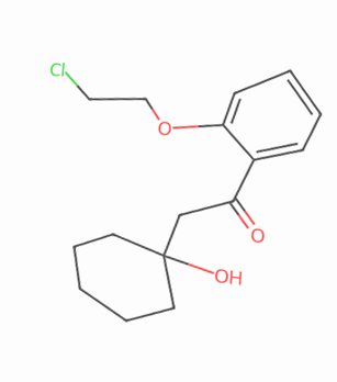 O=C(CC1(O)CCCCC1)c1ccccc1OCCCl